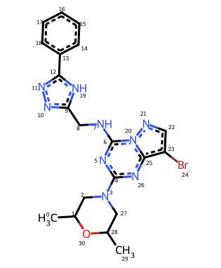 CC1CN(c2nc(NCc3nnc(-c4ccccc4)[nH]3)n3ncc(Br)c3n2)CC(C)O1